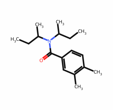 CCC(C)N(C(=O)c1ccc(C)c(C)c1)C(C)CC